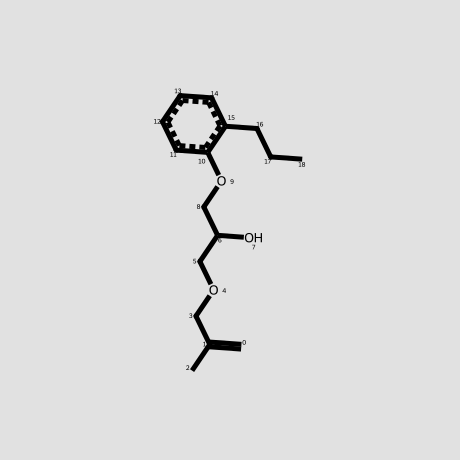 C=C(C)COCC(O)COc1ccccc1CCC